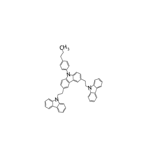 CCCc1ccc(-n2c3ccc(CCn4c5ccccc5c5ccccc54)cc3c3cc(CCn4c5ccccc5c5ccccc54)ccc32)cc1